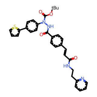 CC(C)(C)OC(=O)N(NC(=O)c1ccc(C=CC(=O)NCCc2ccccn2)cc1)c1ccc(-c2cccs2)cc1